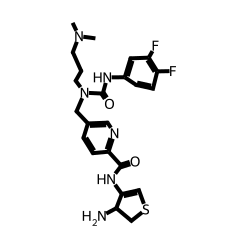 CN(C)CCCN(Cc1ccc(C(=O)NC2=CSCC2N)nc1)C(=O)Nc1ccc(F)c(F)c1